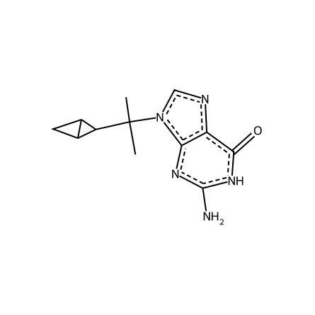 CC(C)(C1C2CC21)n1cnc2c(=O)[nH]c(N)nc21